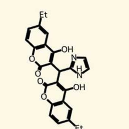 CCc1ccc2oc(=O)c(C(c3ncc[nH]3)c3c(O)c4cc(CC)ccc4oc3=O)c(O)c2c1